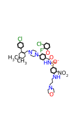 CC1(C)CCC(CN2CCN(c3ccc(C(=O)N[S+]([O-])c4ccc(NCCCN5CCOCC5)c([N+](=O)[O-])c4)c(Oc4cccc(Cl)c4F)c3)CC2)=C(c2ccc(Cl)cc2)C1